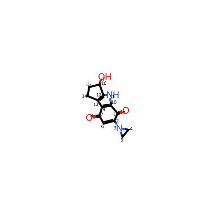 O=C1C(N2CC2)=CC(=O)c2c1[nH]c1c2CCC1O